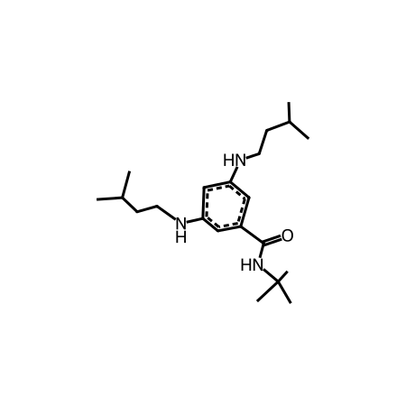 CC(C)CCNc1cc(NCCC(C)C)cc(C(=O)NC(C)(C)C)c1